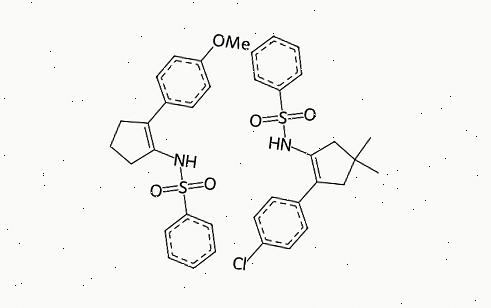 CC1(C)CC(NS(=O)(=O)c2ccccc2)=C(c2ccc(Cl)cc2)C1.COc1ccc(C2=C(NS(=O)(=O)c3ccccc3)CCC2)cc1